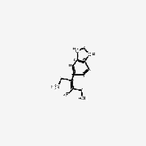 NC/C(=C(\F)CO)c1ccc2c(c1)OCO2